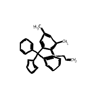 C=CCOc1c(C)cc(C)cc1C(C1=CCC=C1)(c1ccccc1)c1ccccc1